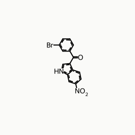 O=C(c1cccc(Br)c1)c1c[nH]c2cc([N+](=O)[O-])ccc12